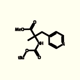 COC(=O)C(C)(Cc1ccncc1)NC(=O)OC(C)(C)C